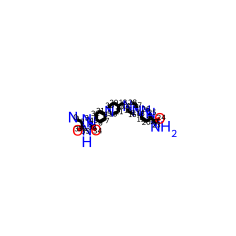 N#Cc1nn(-c2ccc(N3CCC(CN4CCN(c5ccc(C(N)=O)nn5)CC4)CC3)cc2)c(=O)[nH]c1=O